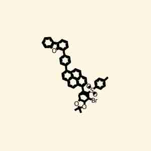 Cc1ccc(S(=O)(=O)C2=C(c3ccc4ccc5c(-c6ccc(-c7cccc8c7oc7ccccc78)cc6)ccc6ccc3c4c65)C3C=CC2(Br)C2OC(C)(C)OC32)cc1